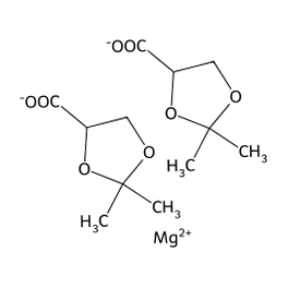 CC1(C)OCC(C(=O)[O-])O1.CC1(C)OCC(C(=O)[O-])O1.[Mg+2]